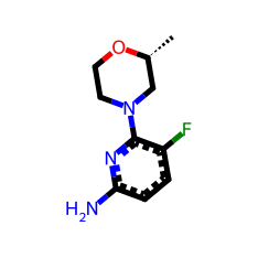 C[C@@H]1CN(c2nc(N)ccc2F)CCO1